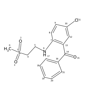 CS(=O)(=O)CCNc1ccc(Cl)cc1C(=O)c1ccccc1